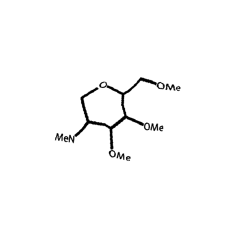 CNC1COC(COC)C(OC)C1OC